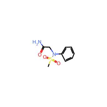 CS(=O)(=O)N(CC(N)=O)c1ccccc1